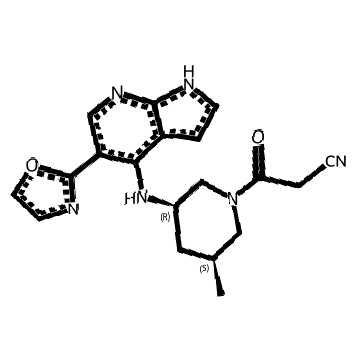 C[C@H]1C[C@@H](Nc2c(-c3ncco3)cnc3[nH]ccc23)CN(C(=O)CC#N)C1